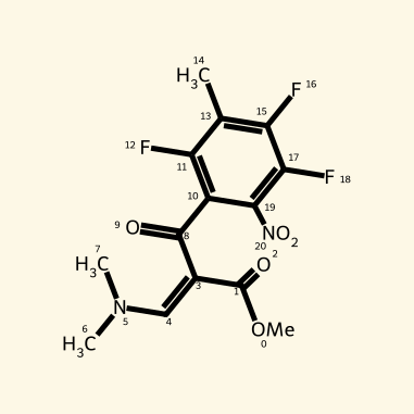 COC(=O)/C(=C/N(C)C)C(=O)c1c(F)c(C)c(F)c(F)c1[N+](=O)[O-]